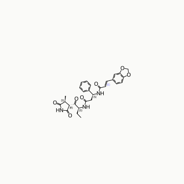 CC[C@H](NC(=O)C[C@H](NC(=O)/C=C/c1ccc2c(c1)OCO2)c1ccccc1)C(=O)[C@@H]1C(=O)NC(=O)[C@H]1C